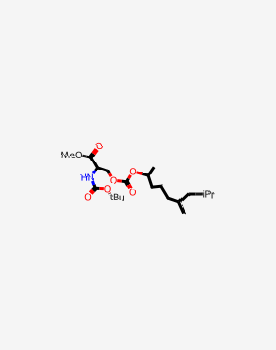 COC(=O)C(COC(=O)OC(C)CCCC(C)CC(C)C)NC(=O)OC(C)(C)C